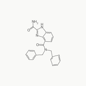 NC(=O)c1nc2c(C(=O)N(Cc3ccccc3)Cc3ccccc3)cccc2[nH]1